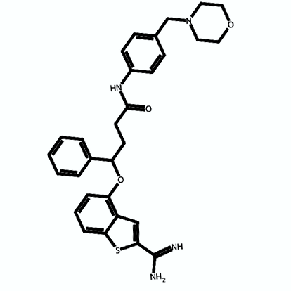 N=C(N)c1cc2c(OC(CCC(=O)Nc3ccc(CN4CCOCC4)cc3)c3ccccc3)cccc2s1